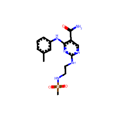 Cc1cccc(Nc2nc(NCCNS(C)(=O)=O)ncc2C(N)=O)c1